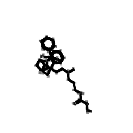 CCc1ccccc1C1(CCN(C)CCCNC(=O)OC(C)(C)C)C[C@@]23CC(C12)N(C(=O)c1ccccc1)C3